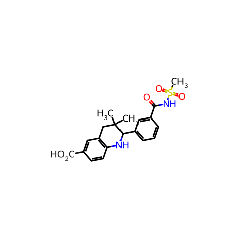 CC1(C)Cc2cc(C(=O)O)ccc2NC1c1cccc(C(=O)NS(C)(=O)=O)c1